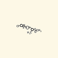 CC(=O)Oc1cc(C)cc(CN2CCCN(c3nc4ccc(Cl)cc4s3)CC2)c1